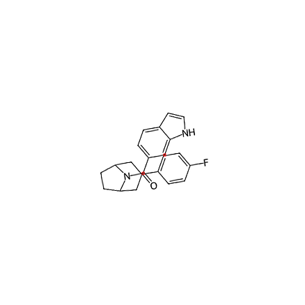 O=C(c1ccc2cc[nH]c2c1)N1C2CCC1CC(c1ccc(F)cc1)C2